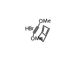 Br.COC#COC.c1cc2ccc1-2